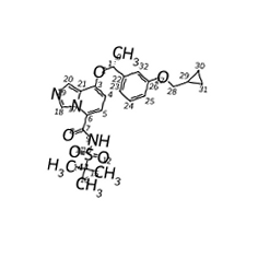 C[C@@H](Oc1ccc(C(=O)NS(=O)(=O)C(C)(C)C)n2cncc12)c1cccc(OCC2CC2)c1